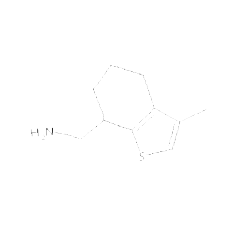 Cc1csc2c1CCCC2CN